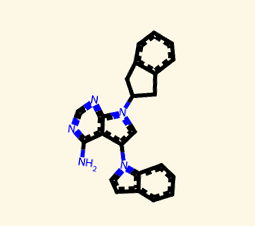 Nc1ncnc2c1c(-n1ccc3ccccc31)cn2C1Cc2ccccc2C1